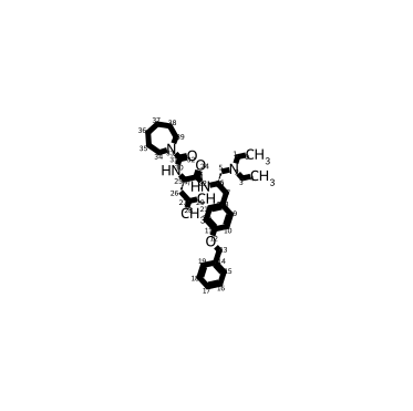 CCN(CC)C[C@H](Cc1ccc(OCc2ccccc2)cc1)NC(=O)[C@H](CC(C)C)NC(=O)N1CCCCCC1